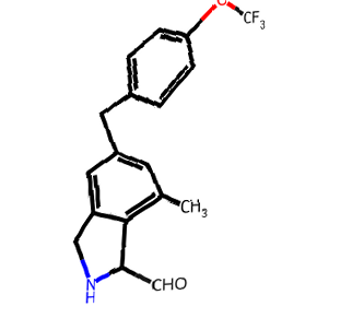 Cc1cc(Cc2ccc(OC(F)(F)F)cc2)cc2c1C(C=O)NC2